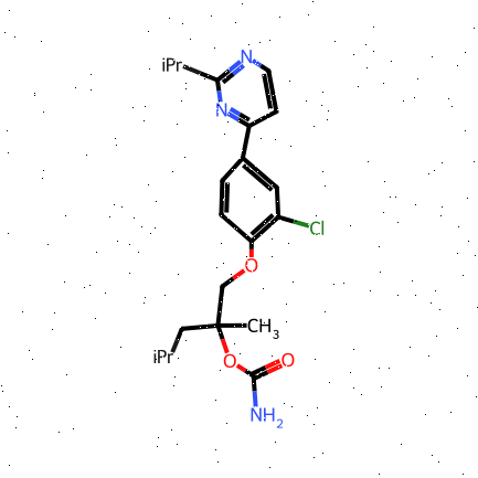 CC(C)CC(C)(COc1ccc(-c2ccnc(C(C)C)n2)cc1Cl)OC(N)=O